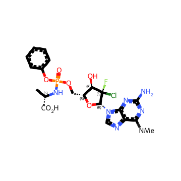 CNc1nc(N)nc2c1ncn2[C@@H]1O[C@H](COP(=O)(N[C@@H](C)C(=O)O)Oc2ccccc2)[C@@H](O)[C@]1(F)Cl